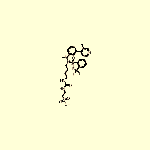 Cc1cnccc1-c1cccc([C@H](C)N(CCCCNC(=O)NCCS(=O)(=O)O)S(=O)(=O)c2ccccc2C(F)(F)F)c1